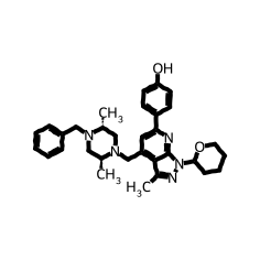 Cc1nn(C2CCCCO2)c2nc(-c3ccc(O)cc3)cc(CN3C[C@@H](C)N(Cc4ccccc4)C[C@@H]3C)c12